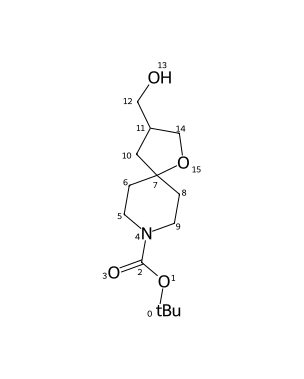 CC(C)(C)OC(=O)N1CCC2(CC1)CC(CO)CO2